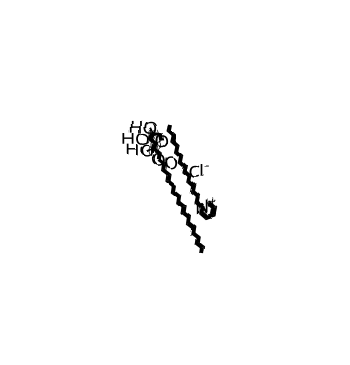 CCCCCCCCCCCCCCCCCC(=O)OC[C@@H](O)[C@H]1OC[C@H](O)[C@H]1O.CCCCCCCCCCCCCCCC[n+]1ccccc1.[Cl-]